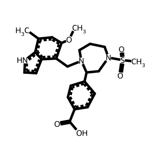 COc1cc(C)c2[nH]ccc2c1CN1CCCN(S(C)(=O)=O)CC1c1ccc(C(=O)O)cc1